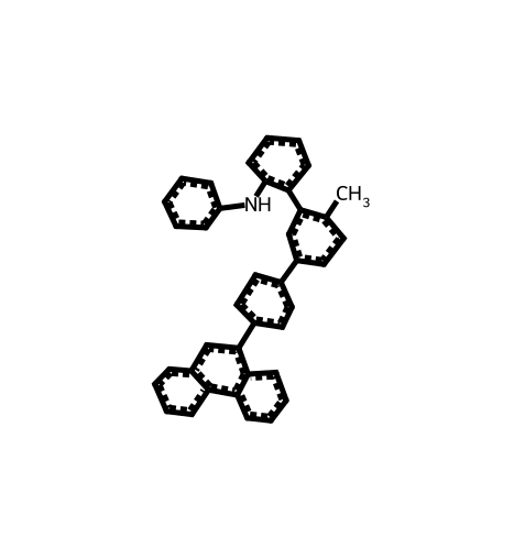 Cc1ccc(-c2ccc(-c3cc4ccccc4c4ccccc34)cc2)cc1-c1ccccc1Nc1ccccc1